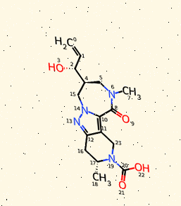 C=C[C@@H](O)[C@H]1CN(C)C(=O)c2c3c(nn2C1)C[C@@H](C)N(C(=O)O)C3